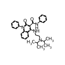 CC(C)N(CCNc1c(C(=O)Nc2ccccc2)c(=O)n(-c2ccccc2)c2ccccc12)C(C)C